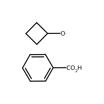 O=C(O)c1ccccc1.[O]C1CCC1